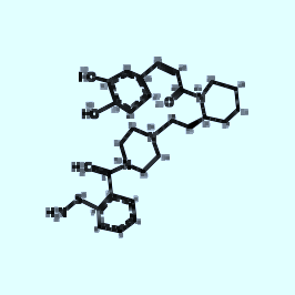 C=C(c1ccccc1SN)N1CCN(CC[C@@H]2CCCCN2C(=O)/C=C\c2ccc(O)c(O)c2)CC1